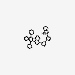 C1=CCCC(C2=c3ccccc3=C(C3=CC=CCC3)C3C4=CC=C(C5=CC=CC(C6C=CC=C(C7=CN8CCC=CC8N7)C6)C5)C5C=CC=C(C45)C23)=C1